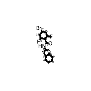 O=C(Nc1nc2ccccc2s1)c1c(F)cc(Br)cc1F